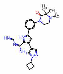 CC(=O)N1CCN(c2cccc(-c3cc(-c4cnn(C5CCC5)c4)c(/C(N)=N\C=N)[nH]3)c2)C(=O)C1(C)C